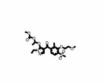 CCn1ncc(C(=O)c2ccc(S(C)(=O)=O)c(OCCOC)c2C)c1OC(C)OC(=O)OC